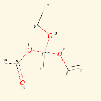 C=COC(C)(OCC)OC(C)=O